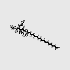 CCCCCCCCC=CCCCCCCCC(=O)Oc1c2nc(SC)nc(C(=O)OCC)c2nn1C